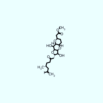 C=C(I)C[C@H](C)CCC(=O)C[C@@H]1OC2C(O[C@H]3CCC(CC(=O)OC)O[C@@H]3C2O)C1O